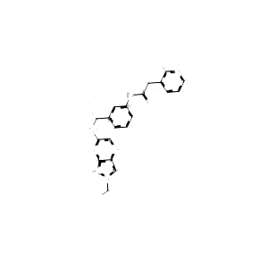 CCn1cc2ncc(N[C@@H](C)c3cccc(NC(=O)Cc4cccnc4)c3)nc2n1